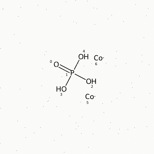 O=P(O)(O)O.[Co].[Co]